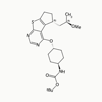 CO[C@H](C)C[C@H]1CCc2sc3ncnc(O[C@H]4CC[C@H](NC(=O)OC(C)(C)C)CC4)c3c21